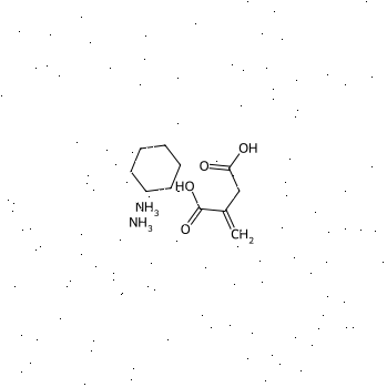 C1CCCCC1.C=C(CC(=O)O)C(=O)O.N.N